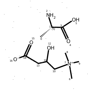 C[C@H](N)C(=O)O.C[N+](C)(C)CC(O)CC(=O)[O-]